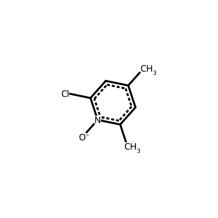 Cc1cc(C)[n+]([O-])c(Cl)c1